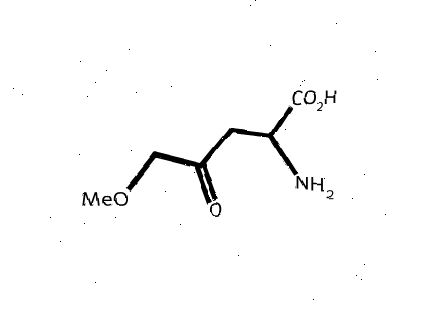 COCC(=O)CC(N)C(=O)O